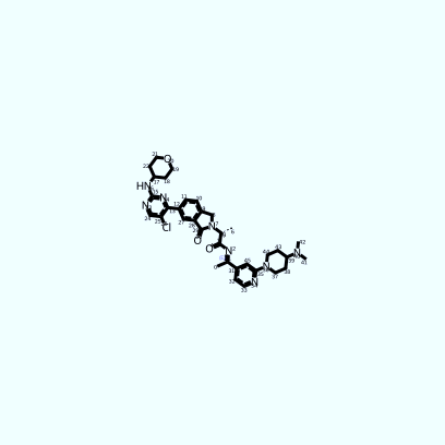 C/C(=N\C(=O)[C@@H](C)N1Cc2ccc(-c3nc(NC4CCOCC4)ncc3Cl)cc2C1=O)c1ccnc(N2CCC(N(C)C)CC2)c1